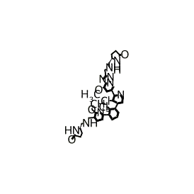 COc1nc(-c2cccc(-c3ccnc(-c4cc(OC)c5nc(CNC[C@H]6CCC(=O)N6)nn5c4)c3Cl)c2Cl)ccc1CNC[C@H]1CCC(=O)N1